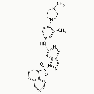 Cc1cc(Nc2cc3c(cn2)cnn3S(=O)(=O)c2cccc3cccnc23)ccc1N1CCN(C)CC1